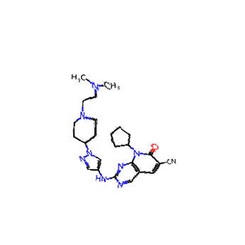 CN(C)CCN1CCC(n2cc(Nc3ncc4cc(C#N)c(=O)n(C5CCCC5)c4n3)cn2)CC1